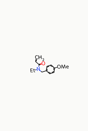 C=CC(=O)N(CC)Cc1ccc(OC)cc1